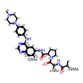 CNC(C)C(=O)NC(C(=O)N1CCCC1C(=O)Nc1cc2c(Nc3ccc(N4CCN(C)CC4)cc3)ncnc2cc1OC)C(C)(C)C